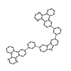 c1cc(-c2ccc3sc4ccc(-c5cccc(-c6ccc7c(c6)c6ccccc6c6nccnc76)c5)cc4c3c2)cc(-c2ccc3c(c2)c2ccccc2c2nccnc32)c1